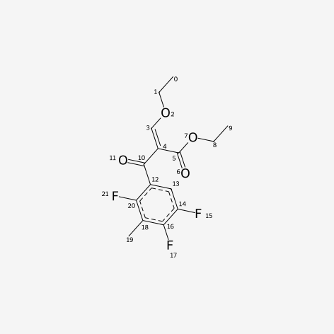 CCOC=C(C(=O)OCC)C(=O)c1cc(F)c(F)c(C)c1F